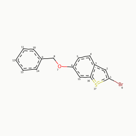 Brc1cc2ccc(OCc3ccccc3)cc2s1